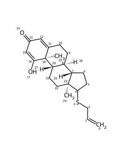 C=CCSC1CC[C@H]2[C@@H]3CCC4=CC(=O)C=C(O)[C@]4(C)[C@H]3CC[C@]12C